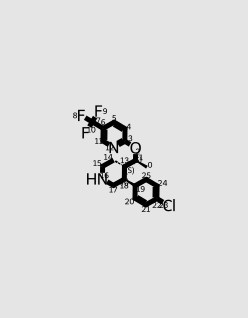 C[C@H](Oc1ccc(C(F)(F)F)cn1)[C@H]1CCNC[C@@H]1C1C=CC(Cl)=CC1